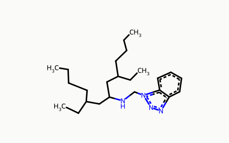 CCCCC(CC)CC(CC(CC)CCCC)NCn1nnc2ccccc21